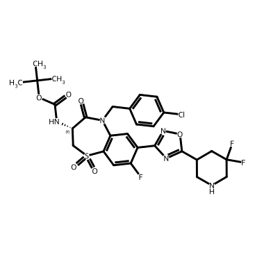 CC(C)(C)OC(=O)N[C@H]1CS(=O)(=O)c2cc(F)c(-c3noc(C4CNCC(F)(F)C4)n3)cc2N(Cc2ccc(Cl)cc2)C1=O